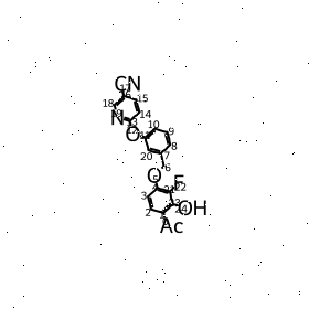 CC(=O)c1ccc(OCc2cccc(Oc3ccc(C#N)cn3)c2)c(F)c1O